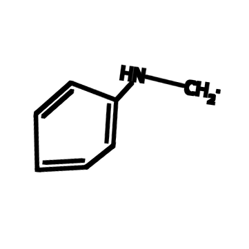 [CH2]Nc1ccccc1